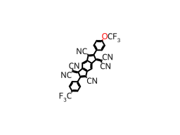 N#CC(C#N)=C1C(c2ccc(OC(F)(F)F)cc2)=C(C#N)c2cc3c(cc21)C(C#N)=C(c1ccc(C(F)(F)F)cc1)C3=C(C#N)C#N